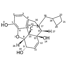 Oc1ccc2c3c1O[C@H]1[C@@H](O)C=C[C@@]4(O)[C@@H](C2)N(CC2CCC2)CC[C@]314